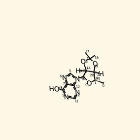 C[C@H]1O[C@@H](n2cnc3c(O)ncnc32)[C@@H]2OC(C)(C)O[C@@H]21